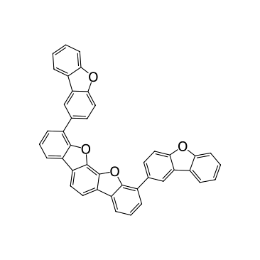 c1ccc2c(c1)oc1ccc(-c3cccc4c3oc3c4ccc4c5cccc(-c6ccc7oc8ccccc8c7c6)c5oc43)cc12